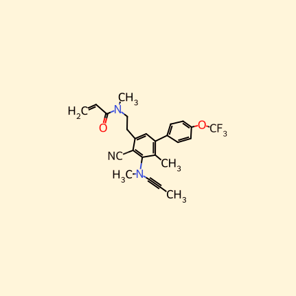 C=CC(=O)N(C)CCc1cc(-c2ccc(OC(F)(F)F)cc2)c(C)c(N(C)C#CC)c1C#N